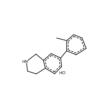 Cc1ccccc1-c1ccc2c(c1)CNCC2.Cl